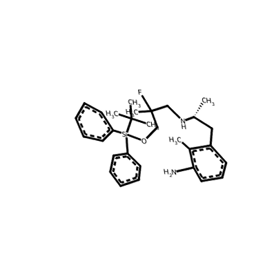 Cc1c(N)cccc1C[C@@H](C)NCC(C)(F)CO[Si](c1ccccc1)(c1ccccc1)C(C)(C)C